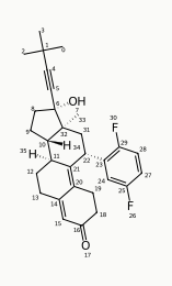 CC(C)(C)C#C[C@]1(O)CC[C@H]2[C@@H]3CCC4=CC(=O)CCC4=C3[C@@H](c3cc(F)ccc3F)C[C@@]21C